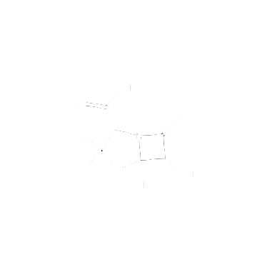 CC1(C)S[C@@H]2C(O)C(=O)N2[C@H]1C(=O)O